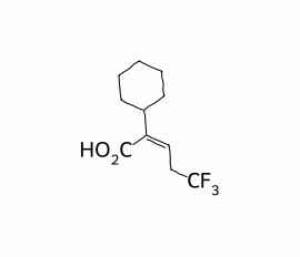 O=C(O)C(=CCC(F)(F)F)C1CCCCC1